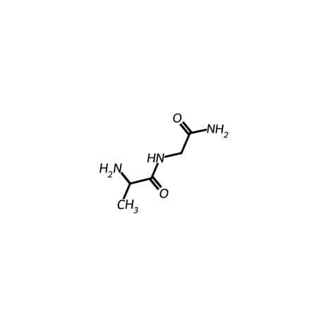 CC(N)C(=O)NCC(N)=O